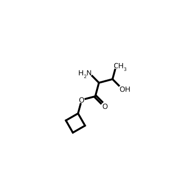 CC(O)C(N)C(=O)OC1CCC1